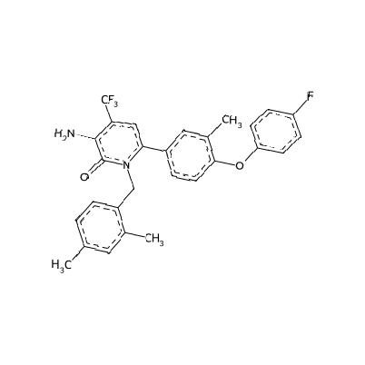 Cc1ccc(Cn2c(-c3ccc(Oc4ccc(F)cc4)c(C)c3)cc(C(F)(F)F)c(N)c2=O)c(C)c1